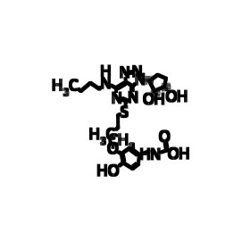 CCCCNc1nc(SCCC)nc2c1nnn2[C@@H]1CC[C@@H](O)[C@H]1O.COc1cc(CNC(=O)O)ccc1O